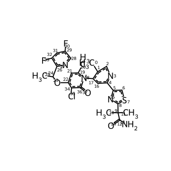 Cc1cnc(-c2csc(C(C)(C)C(N)=O)n2)cc1-n1c(C)cc(OC(C)c2ncc(F)cc2F)c(Cl)c1=O